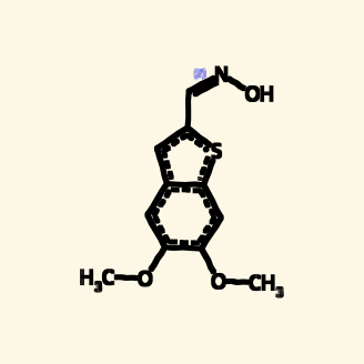 COc1cc2cc(/C=N\O)sc2cc1OC